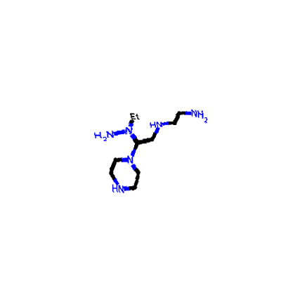 CCN(N)C(CNCCN)N1CCNCC1